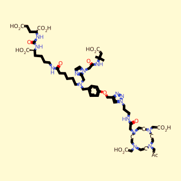 CC(=O)CN1CCN(CC(=O)O)CCN(CC(=O)NCCCn2cc(COc3ccc(CN(CCCCCC(=O)NCCCC[C@H](NC(=O)N[C@@H](CCC(=O)O)C(=O)O)C(=O)O)Cc4nccn4CC(=O)NC(C)(C)CC(=O)O)cc3)nn2)CCN(CC(=O)O)CC1